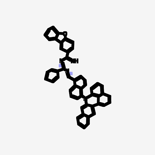 N=C(/N=C(\N=C\c1cccc2c(N3c4cc5ccccc5cc4-c4cccc5cccc3c45)cccc12)c1ccccc1)c1ccc2oc3ccccc3c2c1